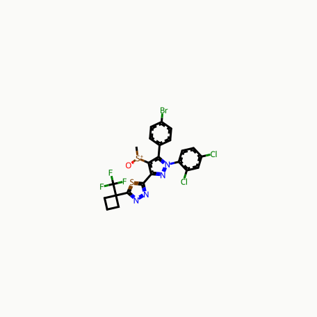 C[S+]([O-])c1c(-c2nnc(C3(C(F)(F)F)CCC3)s2)nn(-c2ccc(Cl)cc2Cl)c1-c1ccc(Br)cc1